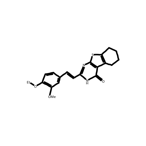 CCOc1ccc(C=Cc2nc3sc4c(c3c(=O)[nH]2)CCCC4)cc1OC